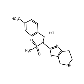 CS(=O)(=O)N(Cc1ccc(C(=O)O)cc1)c1nc2c(s1)CNCC2.Cl